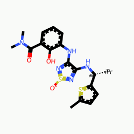 Cc1ccc([C@H](Nc2n[s+]([O-])nc2Nc2cccc(C(=O)N(C)C)c2O)C(C)C)s1